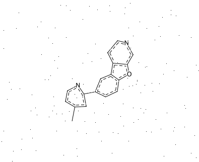 Cc1ccnc(-c2ccc3oc4cnccc4c3c2)c1